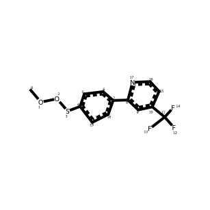 COOSc1ccc(-c2cc(C(F)(F)F)ccn2)cc1